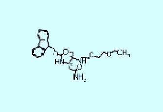 CCOCCOCCNC(=O)[C@H](CC(N)=O)NC(=O)OCC1c2ccccc2-c2ccccc21